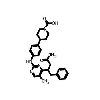 Cc1cnc(Nc2ccc(C3CCN(C(=O)O)CC3)cc2)nc1C(CC(N)=O)Cc1ccccc1